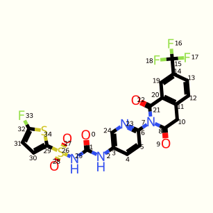 O=C(Nc1ccc(N2C(=O)Cc3ccc(C(F)(F)F)cc3C2=O)nc1)NS(=O)(=O)c1ccc(F)s1